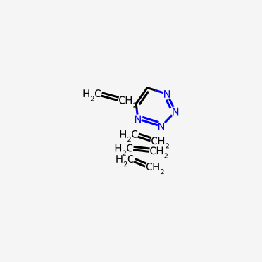 C=C.C=C.C=C.C=C.c1cnnnn1